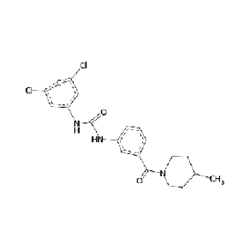 CC1CCN(C(=O)c2cccc(NC(=O)Nc3cc(Cl)cc(Cl)c3)c2)CC1